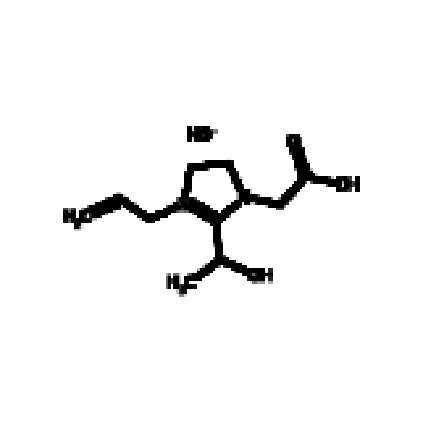 C=CC[N+]1=C(C(C)O)N(CC(=O)O)CC1.[OH-]